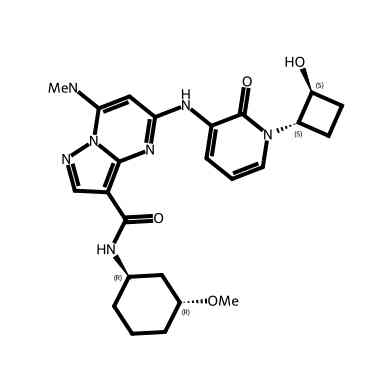 CNc1cc(Nc2cccn([C@H]3CC[C@@H]3O)c2=O)nc2c(C(=O)N[C@@H]3CCC[C@@H](OC)C3)cnn12